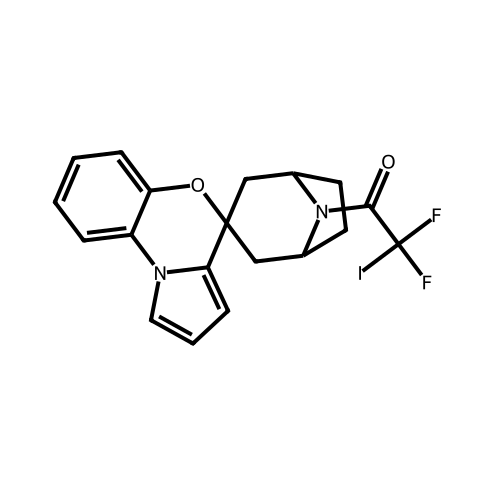 O=C(N1C2CCC1CC1(C2)Oc2ccccc2-n2cccc21)C(F)(F)I